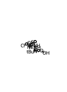 CC(C)(C)c1cc(NC(=O)NCc2ccccc2Sc2ccc3nnc(-c4cc(Cl)ccc4O)n3c2)n(-c2ccc(OCCO)cc2)n1